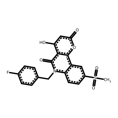 CS(=O)(=O)c1ccc2c(c1)c1oc(=O)cc(O)c1c(=O)n2Cc1ccc(F)cc1